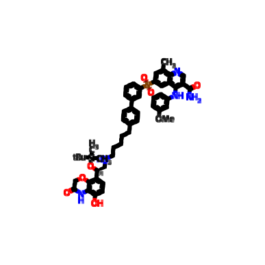 COc1cccc(Nc2c(C(N)=O)cnc3c(C)cc(S(=O)(=O)c4cccc(-c5ccc(CCCCCNC[C@H](O[Si](C)(C)C(C)(C)C)c6ccc(O)c7c6OCC(=O)N7)cc5)c4)cc23)c1